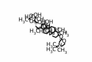 CC(=O)O[C@@H]([C@H]1C[C@@H](C)[C@H]2[C@H](O1)[C@H](O)[C@@]1(C)[C@@H]3CC[C@H]4C(C)(C)[C@@H](O[C@H]5CN(C(C)(C)C)CCO5)CC[C@@]45C[C@@]35CC[C@]21C)C(C)(C)O